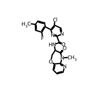 Cc1ccc(-c2nc(C(=O)NC3COc4cccnc4N(C)C3=O)ncc2Cl)c(F)c1